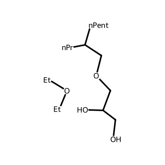 CCCCCC(CCC)COCC(O)CO.CCOCC